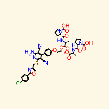 C[C@H](NC(=O)[C@@H]1CCCN1C(=O)O)C(=O)OC[C@H](COc1ccc(-c2c(C#N)c(N)nc(SCc3coc(-c4ccc(Cl)cc4)n3)c2C#N)cc1)OC(=O)[C@H](C)NC(=O)[C@@H]1CCCN1C(=O)O